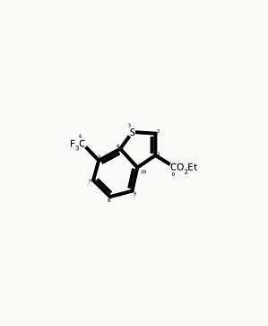 CCOC(=O)c1csc2c(C(F)(F)F)cccc12